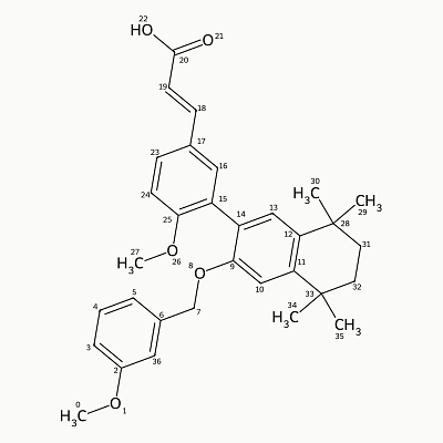 COc1cccc(COc2cc3c(cc2-c2cc(/C=C/C(=O)O)ccc2OC)C(C)(C)CCC3(C)C)c1